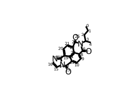 CCCC(C)N1C(=O)c2ccc3c(=O)n4ccnc4c4ccc(c2c34)C1=O